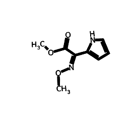 CON=C(C(=O)OC)c1ccc[nH]1